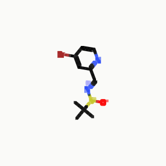 CC(C)(C)[S+]([O-])/N=C/c1cc(Br)ccn1